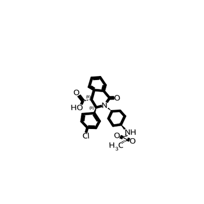 CS(=O)(=O)N[C@H]1CC[C@H](N2C(=O)c3ccccc3[C@@H](C(=O)O)[C@@H]2c2ccc(Cl)cc2)CC1